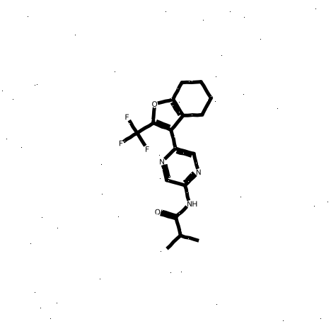 CC(C)C(=O)Nc1cnc(-c2c(C(F)(F)F)oc3c2CCCC3)cn1